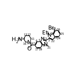 CCn1c(-c2nc3cc(C(=O)N4CCC[C@@H](N)C4)ccc3n2C)cc2cccc(Br)c21